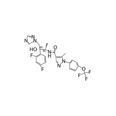 Cc1c(C(=O)N[C@H](C)[C@](O)(Cn2cncn2)c2ccc(F)cc2F)cnn1-c1ccc(OC(F)(F)F)cc1